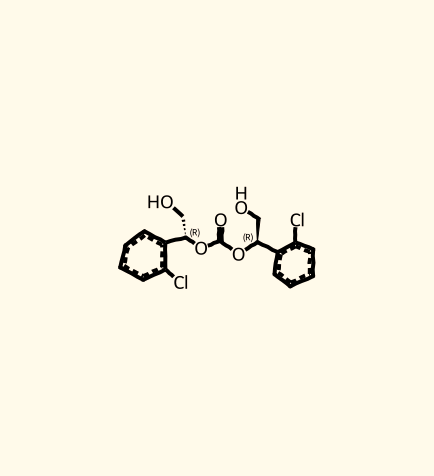 O=C(O[C@@H](CO)c1ccccc1Cl)O[C@@H](CO)c1ccccc1Cl